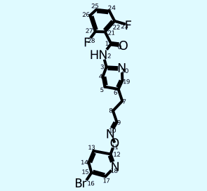 O=C(Nc1ccc(CC/C=N/Oc2ccc(Br)cn2)cn1)c1c(F)cccc1F